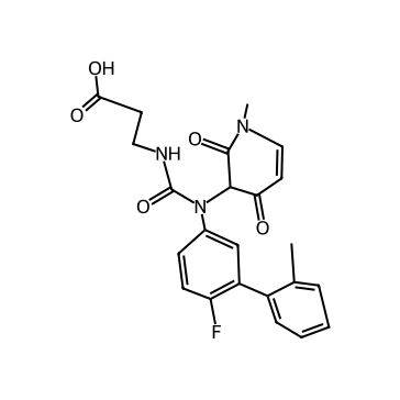 Cc1ccccc1-c1cc(N(C(=O)NCCC(=O)O)C2C(=O)C=CN(C)C2=O)ccc1F